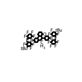 Cc1c2c3c(cccc3c3cc(B(c4c(F)c(F)c(F)c(F)c4F)c4c(F)c(F)c(C(C)(C)C)c(F)c4F)ccc13)Oc1cc(B(c3c(F)c(F)c(F)c(F)c3F)c3c(F)c(F)c(C(C)(C)C)c(F)c3F)ccc1-2